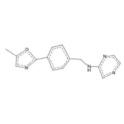 Cc1cnc(-c2ccc(CNc3cnccn3)cc2)o1